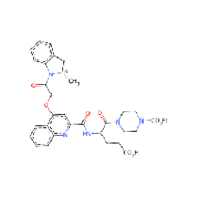 CCOC(=O)N1CCN(C(=O)C(CCC(=O)O)NC(=O)c2cc(OCC(=O)N3c4ccccc4C[C@@H]3C)c3ccccc3n2)CC1